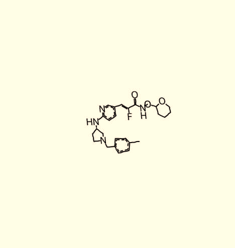 Cc1ccc(CN2CC[C@@H](Nc3ccc(C=C(F)C(=O)NOC4CCCCO4)cn3)C2)cc1